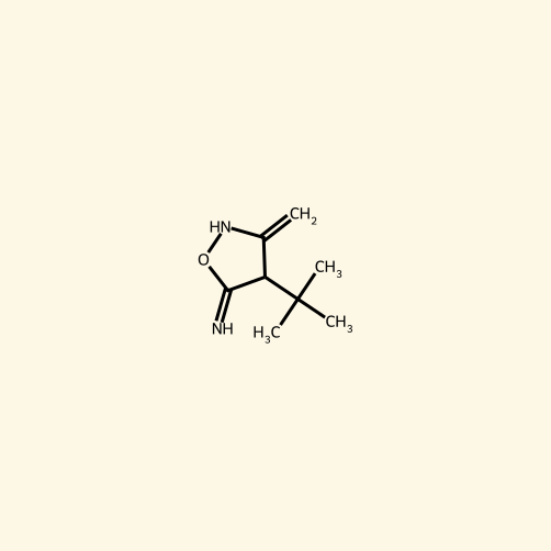 C=C1NOC(=N)C1C(C)(C)C